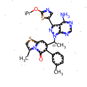 Cc1cccc(-c2c([C@H](C)n3nc(-c4cnc(OC(C)C)s4)c4c(N)ncnc43)cc3scc(C)n3c2=O)c1